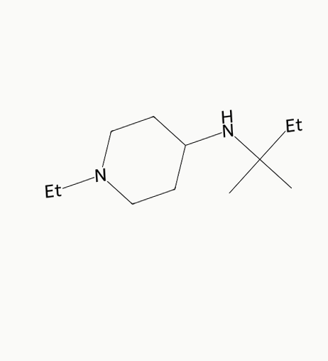 CCN1CCC(NC(C)(C)CC)CC1